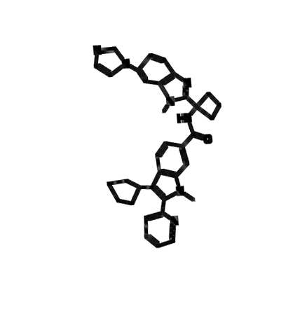 Cn1c(C2(NC(=O)c3ccc4c(C5CCCC5)c(-c5ccccn5)n(C)c4c3)CCC2)nc2ccc(-n3ccnc3)cc21